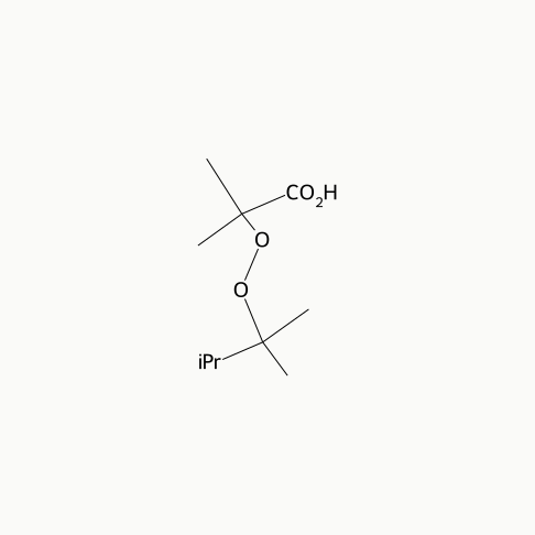 CC(C)C(C)(C)OOC(C)(C)C(=O)O